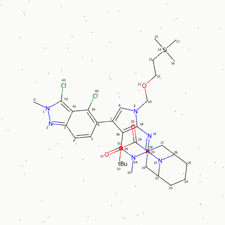 Cn1nc2ccc(-c3cn(COCC[Si](C)(C)C)c4nc(N5C6CCCC5CN(C(=O)OC(C)(C)C)C6)n(C)c(=O)c34)c(Cl)c2c1Cl